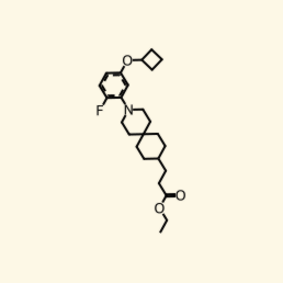 CCOC(=O)CCC1CCC2(CC1)CCN(c1cc(OC3CCC3)ccc1F)CC2